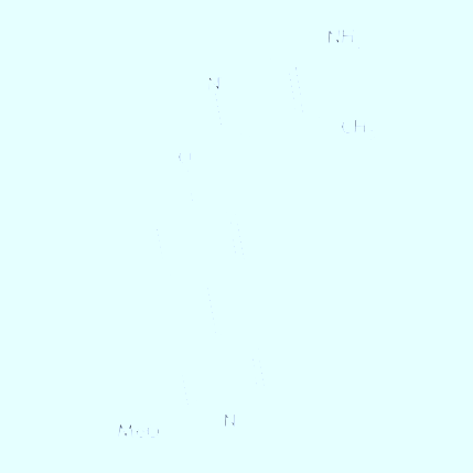 COc1cc(-c2ccc(Oc3cc(C)c(N)cn3)cc2)ccn1